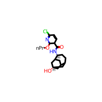 CCCOC1N=C(Cl)C=CC1C(=O)N[C@@H]1CCC2C[C@@]3(O)CC2CC1C3